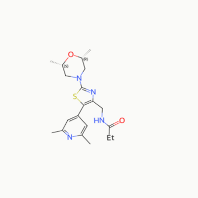 CCC(=O)NCc1nc(N2C[C@@H](C)O[C@@H](C)C2)sc1-c1cc(C)nc(C)c1